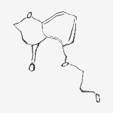 O=C1CCOc2cccc(OCCCl)c21